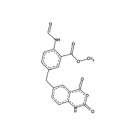 COC(=O)c1cc(Cc2ccc3[nH]c(=O)oc(=O)c3c2)ccc1NC=O